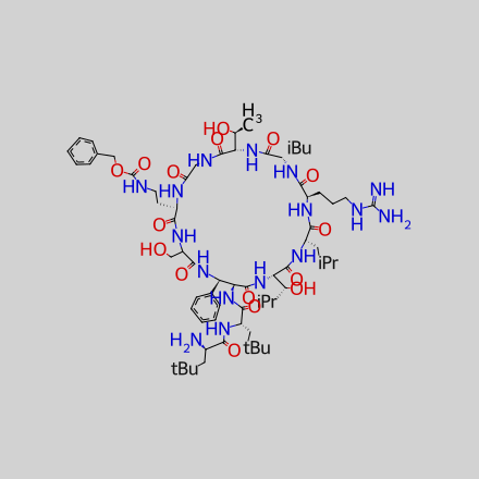 CC[C@H](C)[C@@H]1NC(=O)[C@@H](CCCNC(=N)N)NC(=O)[C@H](CC(C)C)NC(=O)[C@H]([C@H](O)C(C)C)NC(=O)[C@@H](NC(=O)[C@H](CC(C)(C)C)NC(=O)[C@H](N)CC(C)(C)C)[C@@H](c2ccccc2)NC(=O)C(CO)NC(=O)[C@H](CCNC(=O)OCc2ccccc2)NC(=O)CNC(=O)[C@H]([C@H](C)O)NC1=O